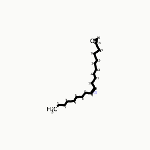 CCCCCCCC/C=C\CCCCCCCCC1CO1